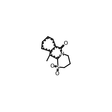 Cc1c2n(c(=O)c3ccccc13)CCCS2(=O)=O